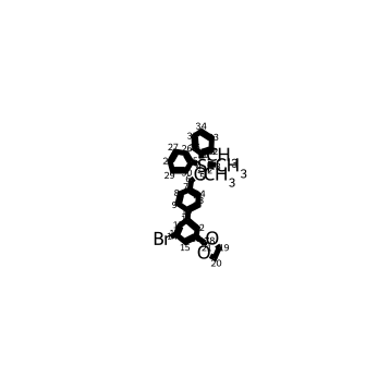 CC(C)(C)[Si](OCc1ccc(-c2cc(Br)cc(C3OCCO3)c2)cc1)(c1ccccc1)c1ccccc1